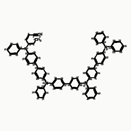 C#C/C=C\C(=C/C)N(c1ccccc1)c1ccc(-c2ccc(N(c3ccccc3)c3ccc(-c4ccc(N(c5ccccc5)c5ccc(-c6ccc(N(c7ccccc7)c7ccccc7)cc6)cc5)cc4)cc3)cc2)cc1